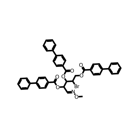 CON=CC(OC(=O)c1ccc(-c2ccccc2)cc1)C(OC(=O)c1ccc(-c2ccccc2)cc1)C(Br)COC(=O)c1ccc(-c2ccccc2)cc1